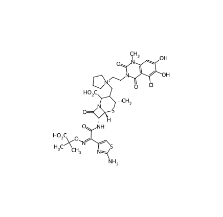 C[C@@H]1S[C@@H]2[C@H](NC(=O)/C(=N\OC(C)(C)C(=O)O)c3csc(N)n3)C(=O)N2C(C(=O)O)C1C[N+]1(CCn2c(=O)c3c(Cl)c(O)c(O)cc3n(C)c2=O)CCCC1